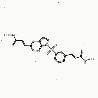 O=C(C=Cc1cccc(S(=O)(=O)n2ccc3cc(C=CC(=O)NO)cnc32)c1)NO